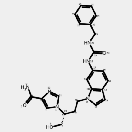 NC(=O)c1cn([C@@H](CO)CCn2ccc3ccc(NC(=O)NCc4ccccc4)cc32)cn1